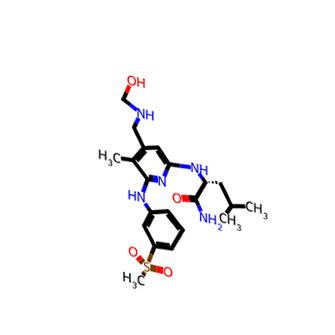 Cc1c(CNCO)cc(N[C@H](CC(C)C)C(N)=O)nc1Nc1cccc(S(C)(=O)=O)c1